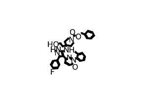 Cc1ccccc1-n1nc(-c2c(-c3ccc(F)cc3)n[nH]c2NC2(CCO)CCN(C(=O)OCc3ccccc3)CC2)ccc1=O